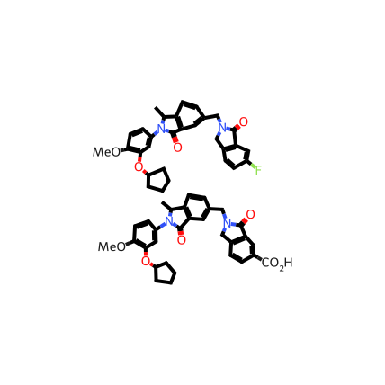 COc1ccc(N2C(=O)c3cc(CN4Cc5ccc(C(=O)O)cc5C4=O)ccc3C2C)cc1OC1CCCC1.COc1ccc(N2C(=O)c3cc(CN4Cc5ccc(F)cc5C4=O)ccc3C2C)cc1OC1CCCC1